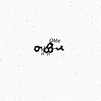 C=C(C)CC[C@H]1CC[C@H]2CC[C@](C)(NCc3ccccc3)c3cc(OC)cc1c32